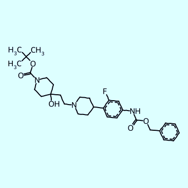 CC(C)(C)OC(=O)N1CCC(O)(CCN2CCC(c3ccc(NC(=O)OCc4ccccc4)cc3F)CC2)CC1